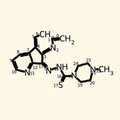 C=C/N=C1C(=C/C)\c2cccnc2C\1=N\NC(=S)N1CCN(C)CC1